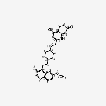 COc1ccc2ncc(=O)n(CCN3CCC(NCC4=NC(Cl)=C5CCC(=O)N=C5N4)CC3)c2n1